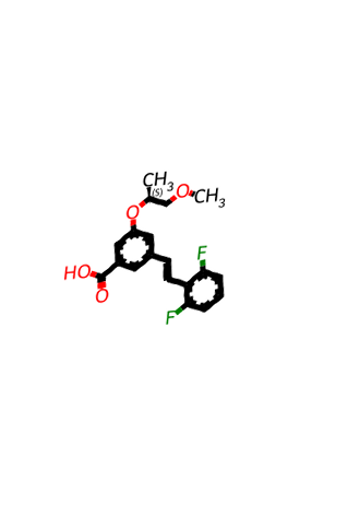 COC[C@H](C)Oc1cc(C=Cc2c(F)cccc2F)cc(C(=O)O)c1